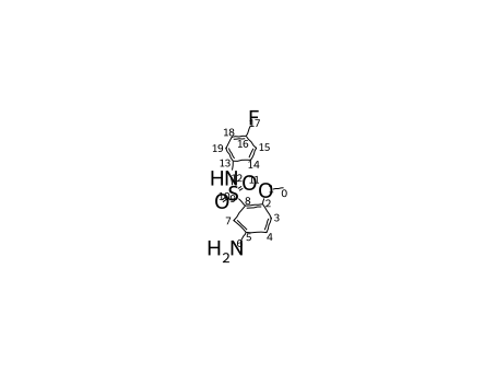 COc1ccc(N)cc1S(=O)(=O)Nc1ccc(F)cc1